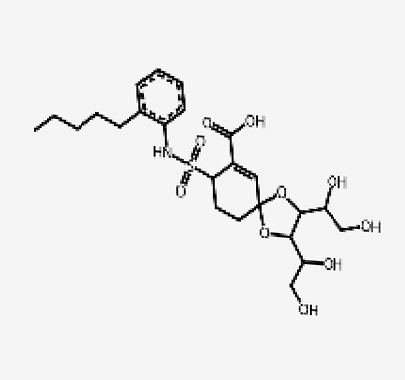 CCCCCc1ccccc1NS(=O)(=O)C1CCC2(C=C1C(=O)O)OC(C(O)CO)C(C(O)CO)O2